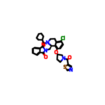 O=C(c1cncs1)N1CC[C@H](Oc2ccc(Cl)c3c2[C@@H](CN2C(=O)c4ccccc4C2=O)N(C(=O)C2CCCCC2)CC3)C1